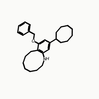 c1ccc(COc2cc(C3CCCCCCC3)cc3c2CCCCCCCN3)cc1